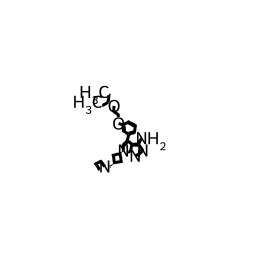 CCC(CC)OCCOc1cccc(-c2cn([C@H]3C[C@@H](CN4CCC4)C3)c3ncnc(N)c23)c1